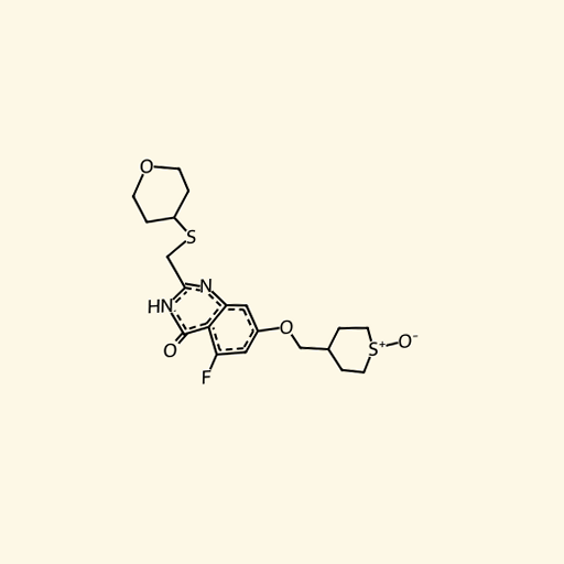 O=c1[nH]c(CSC2CCOCC2)nc2cc(OCC3CC[S+]([O-])CC3)cc(F)c12